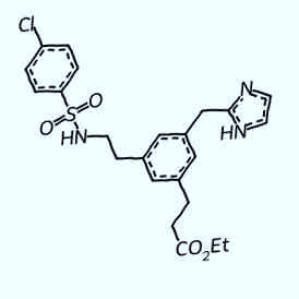 CCOC(=O)CCc1cc(CCNS(=O)(=O)c2ccc(Cl)cc2)cc(Cc2ncc[nH]2)c1